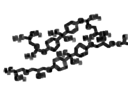 C=C(C)COC(C)Oc1ccc(C(C)(C)c2ccc(OC(C)OCC(=C)C)cc2)cc1.C=C(C)COCC(O)COc1ccc(C(C)(C)c2ccc(OCC(O)COCC(=C)C)cc2)cc1